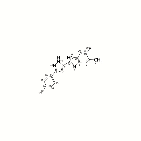 Cc1cc2nc(-c3cc(-c4ccc(F)cc4)n[nH]3)[nH]c2cc1Br